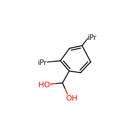 CC(C)c1ccc(C(O)O)c(C(C)C)c1